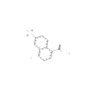 O=C(O)c1cccc2cc(S(=O)(=O)O)ccc12.[KH]